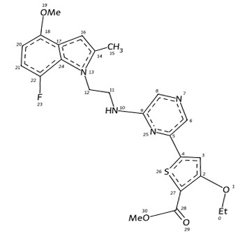 CCOc1cc(-c2cncc(NCCn3c(C)cc4c(OC)ccc(F)c43)n2)sc1C(=O)OC